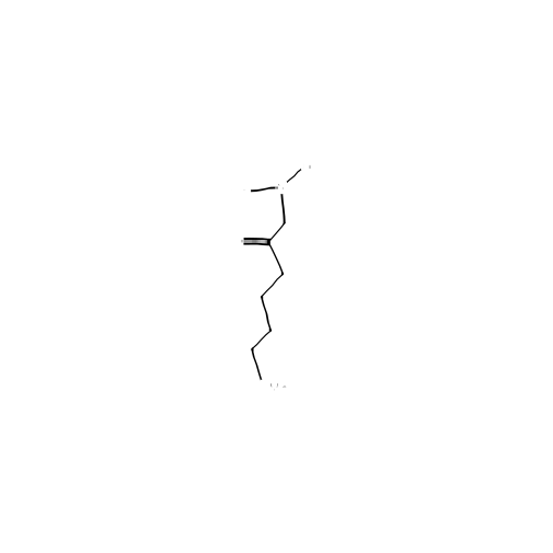 CCCN(CCC)CC(=O)CCCCOC